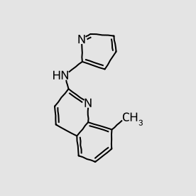 Cc1cccc2ccc(Nc3ccccn3)nc12